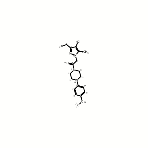 Cc1c(Cl)c(CF)nn1CC(=O)N1CCN(c2ccc(OC(F)(F)F)cc2)CC1